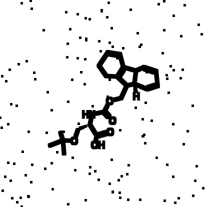 CC(C)(C)OC[C@H](NC(=O)OCC1C2=C(C=CCC2)C2C=CC=C[C@@H]21)C(=O)O